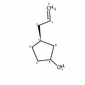 C=CC[C@@H]1CCC(O)C1